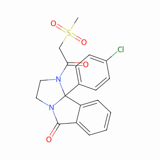 CS(=O)(=O)CC(=O)N1CCN2C(=O)c3ccccc3C12c1ccc(Cl)cc1